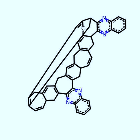 C1=CC2CC3=C4C=C2CC2=C1CC1C(=C2)CC2=CC5=C(C=CC6CC(=C(C=C6C5)C4)c4nc5ccccc5nc43)CC2c2nc3ccccc3nc21